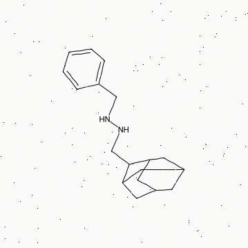 c1ccc(CNNCC2C3CC4CC(C3)CC2C4)cc1